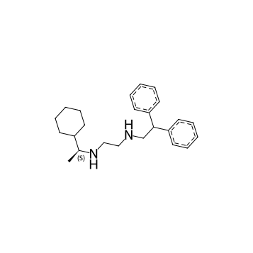 C[C@H](NCCNCC(c1ccccc1)c1ccccc1)C1CCCCC1